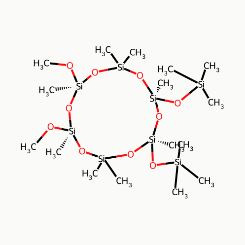 CO[Si@@]1(C)O[Si](C)(C)O[Si@@](C)(O[Si](C)(C)C)O[Si@@](C)(O[Si](C)(C)C)O[Si](C)(C)O[Si@@](C)(OC)O1